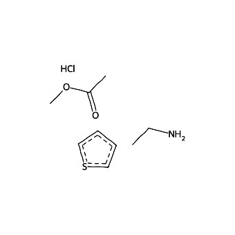 CCN.COC(C)=O.Cl.c1ccsc1